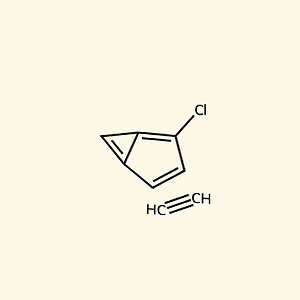 C#C.Clc1ccc2cc1-2